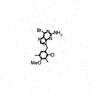 COc1c(C)cc(Cn2cnc3c(Br)nc(N)nc32)c(Cl)c1C